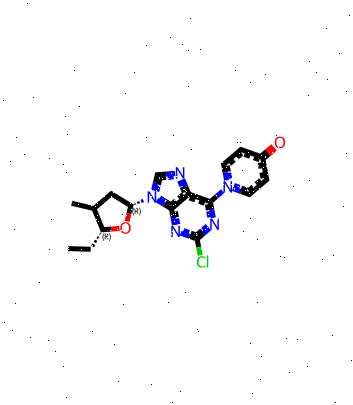 CC[C@H]1O[C@@H](n2cnc3c(-n4ccc(=O)cc4)nc(Cl)nc32)CC1C